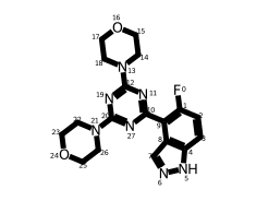 Fc1ccc2[nH]ncc2c1-c1nc(N2CCOCC2)nc(N2CCOCC2)n1